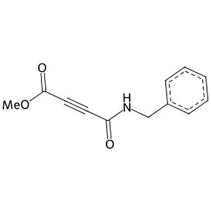 COC(=O)C#CC(=O)NCc1ccccc1